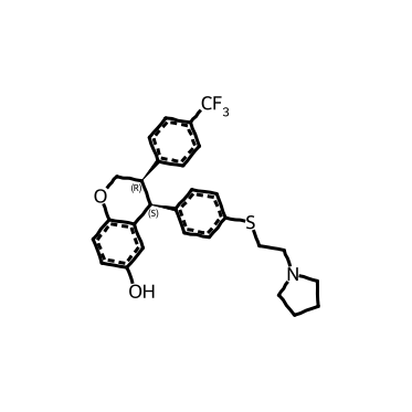 Oc1ccc2c(c1)[C@H](c1ccc(SCCN3CCCC3)cc1)[C@H](c1ccc(C(F)(F)F)cc1)CO2